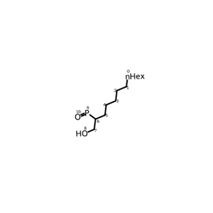 CCCCCCCCCCCC(CO)P=O